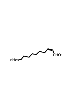 CCCCCCCCCCCCC/C=C\[C]=O